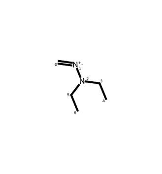 C=[N+]N(CC)CC